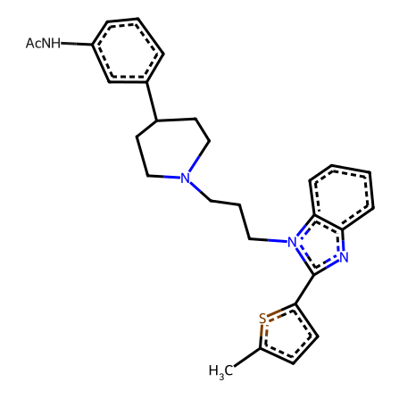 CC(=O)Nc1cccc(C2CCN(CCCn3c(-c4ccc(C)s4)nc4ccccc43)CC2)c1